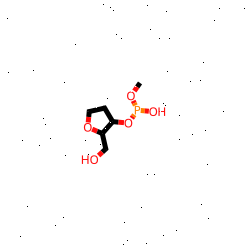 COP(O)OC1CCOC1CO